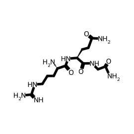 N=C(N)NCCC[C@H](N)C(=O)N[C@@H](CCC(N)=O)C(=O)NCC(N)=O